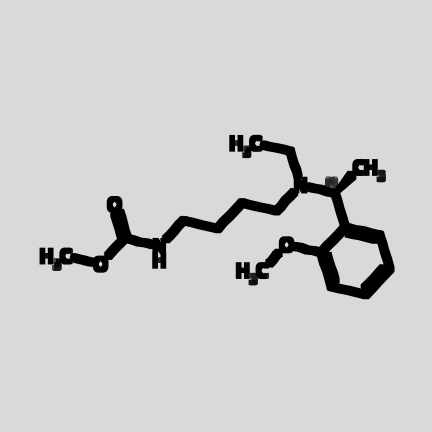 CCN(CCCCNC(=O)OC)[C@@H](C)c1ccccc1OC